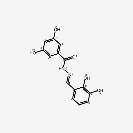 O=C(N/N=C/c1cccc(O)c1O)c1cc(O)cc(O)c1